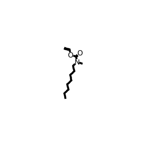 C=COC(=O)N(C)CCCCCCCC